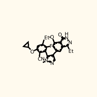 CCOc1cc(-c2cnn(C)c2-c2c(F)c(C)cc(OC3CC3)c2C#N)cc2c(CC)n[nH]c(=O)c12